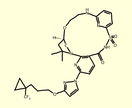 CC1(C)C[C@@H]2CN1c1nc(-n3ccc(OCCCC4(C(F)(F)F)CC4)n3)ccc1C(=O)NS(=O)(=O)c1cccc(n1)NCCO2